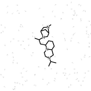 CC(C)N1CCN2C(CC(C)N3CC4CC3CN4C)CCCC2C1